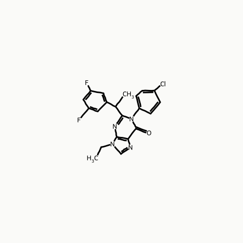 CCn1cnc2c(=O)n(-c3ccc(Cl)cc3)c(C(C)c3cc(F)cc(F)c3)nc21